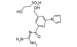 NC(N)=NC(=O)c1cc(CO)cc(-n2cccc2)c1.O=S(=O)(O)CCO